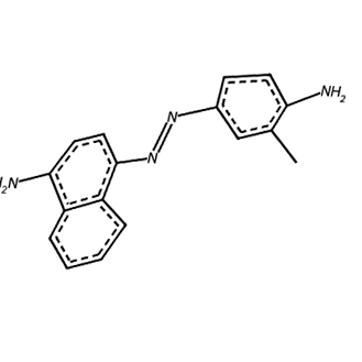 Cc1cc(N=Nc2ccc(N)c3ccccc23)ccc1N